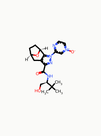 CC(C)(C)[C@@H](CO)NC(=O)c1nn(-c2c[n+]([O-])ccn2)c2c1C[C@H]1CC[C@@H]2O1